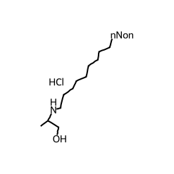 CCCCCCCCCCCCCCCCCCNC(C)CO.Cl